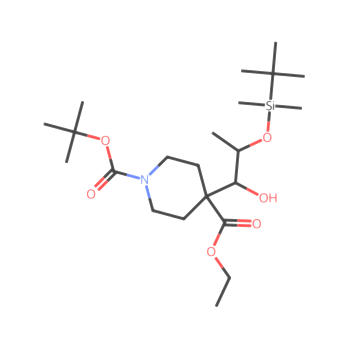 CCOC(=O)C1(C(O)C(C)O[Si](C)(C)C(C)(C)C)CCN(C(=O)OC(C)(C)C)CC1